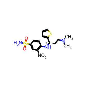 CN(C)CC[C@H](Nc1ccc(S(N)(=O)=O)cc1[N+](=O)[O-])c1cccs1